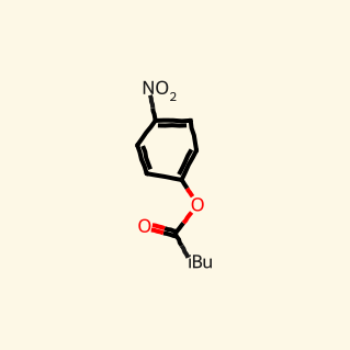 CCC(C)C(=O)Oc1ccc([N+](=O)[O-])cc1